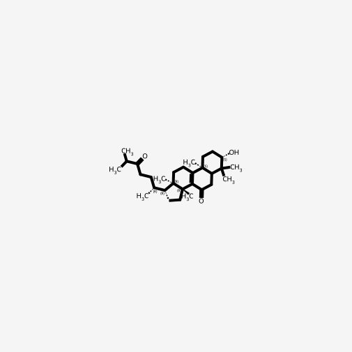 CC(C)C(=O)CC[C@@H](C)[C@H]1CC[C@@]2(C)C3=C(CC[C@]12C)[C@@]1(C)CC[C@H](O)C(C)(C)C1CC3=O